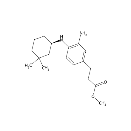 COC(=O)CCc1ccc(N[C@@H]2CCCC(C)(C)C2)c(N)c1